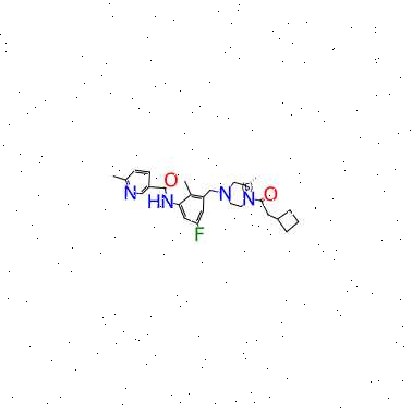 Cc1ccc(C(=O)Nc2cc(F)cc(CN3CCN(C(=O)CC4CCC4)[C@@H](C)C3)c2C)cn1